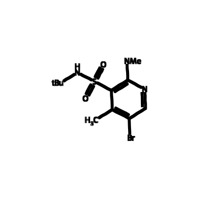 CNc1ncc(Br)c(C)c1S(=O)(=O)NC(C)(C)C